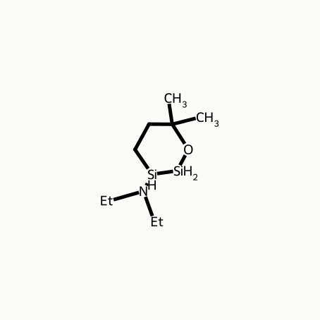 CCN(CC)[SiH]1CCC(C)(C)O[SiH2]1